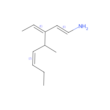 C/C=C(/C=C/N)C(C)/C=C\CC